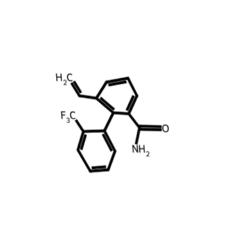 C=Cc1cccc(C(N)=O)c1-c1ccccc1C(F)(F)F